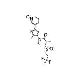 CCN(C(=O)C(C)C[S+]([O-])CCC(F)(F)F)c1cn(-c2ccc[n+]([O-])c2)nc1C